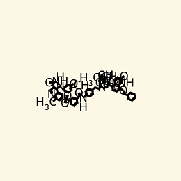 COc1cccc(Nc2c(C(N)=O)cnc3c(C)cc(S(=O)(=O)c4cccc(C(=O)Nc5ccc(CCNCC(O[Si](C)(C)C(C)(C)C)c6ccc(OCc7ccccc7)c7[nH]c(=O)ccc67)cc5)c4)cc23)c1